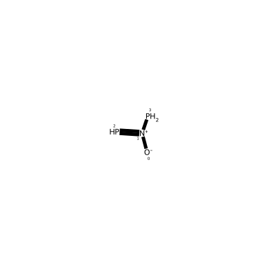 [O-][N+](=P)P